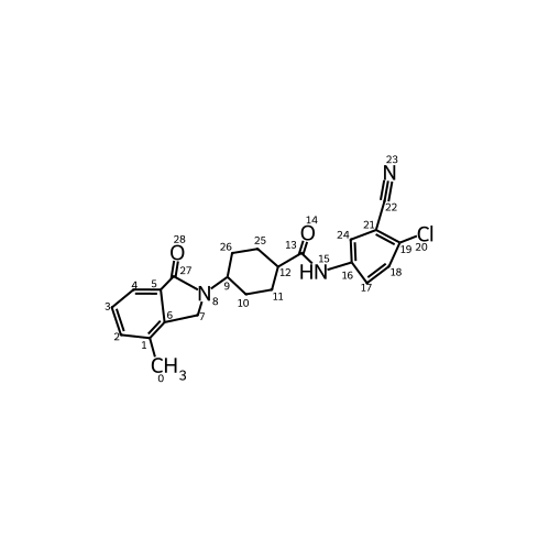 Cc1cccc2c1CN(C1CCC(C(=O)Nc3ccc(Cl)c(C#N)c3)CC1)C2=O